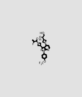 C=C(F)C(=O)N1CC(c2nn(-c3ccc(OC(F)(F)F)cc3)c3nccc(N4CC([C@@H](O)CO)C4)c23)C1